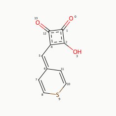 O=c1c(O)c(C=C2C=CSC=C2)c1=O